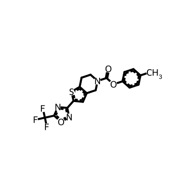 Cc1ccc(OC(=O)N2CCc3sc(-c4noc(C(F)(F)F)n4)cc3C2)cc1